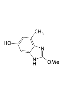 COc1nc2c(C)cc(O)cc2[nH]1